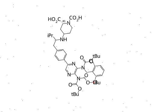 CC(C)C(Cc1ccc(-c2cnc(N(C(=O)OC(C)(C)C)C(=O)OC(C)(C)C)c(N(Cc3c(Cl)cccc3Cl)C(=O)OC(C)(C)C)n2)cc1)NC1CCN(C(=O)O)[C@@H](C(=O)O)C1